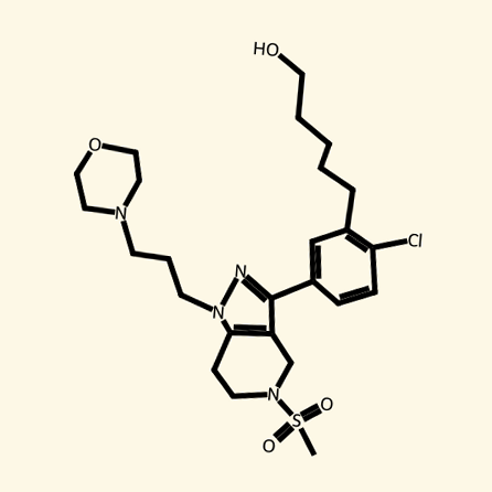 CS(=O)(=O)N1CCc2c(c(-c3ccc(Cl)c(CCCCCO)c3)nn2CCCN2CCOCC2)C1